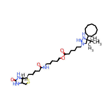 CC(C)(C)C1(C2CCCCCCCC2)CN(CCCCCC(=O)OCCCCCNC(=O)CCCC[C@H]2SCC3NC(=O)N[C@@H]32)NN1